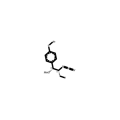 CO[C@H](c1ccc(SC(C)C)cc1)[C@@H](CF)N=[N+]=[N-]